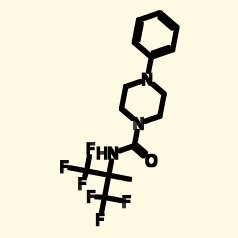 CC(NC(=O)N1CCN(c2ccccc2)CC1)(C(F)(F)F)C(F)(F)F